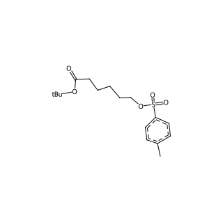 Cc1ccc(S(=O)(=O)OCCCCCC(=O)OC(C)(C)C)cc1